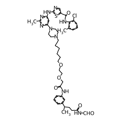 Cc1nc(Nc2ncc(C(=O)Nc3c(C)cccc3Cl)s2)cc(N2CCN(CCCCCCOCCOCC(=O)Nc3cccc(C(C)CCC(=O)NC=O)c3)CC2)n1